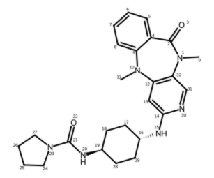 CN1C(=O)c2ccccc2N(C)c2cc(N[C@H]3CC[C@H](NC(=O)N4CCCC4)CC3)ncc21